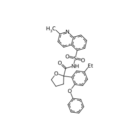 CCc1ccc(Oc2ccccc2)c(C2(C(=O)NS(=O)(=O)c3cccc4nc(C)ccc34)CCCO2)c1